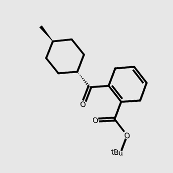 CC(C)(C)OC(=O)C1=C(C(=O)[C@H]2CC[C@H](C)CC2)CC=CC1